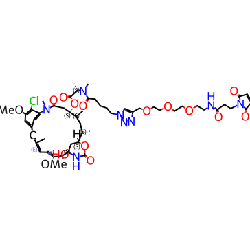 COc1cc2cc(c1Cl)N(C)C(=O)C[C@H](OC(=O)[C@H](C)N(C)C(=O)CCCCn1cc(COCCOCCOCCNC(=O)CCN3C(=O)C=CC3=O)nn1)[C@@H](C)C[C@H](C)[C@@H]1C[C@@](O)(NC(=O)O1)C(OC)/C=C/C=C(\C)C2